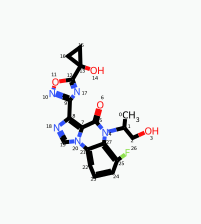 CC(CO)n1c(=O)c2c(-c3noc(C4(O)CC4)n3)ncn2c2cccc(F)c21